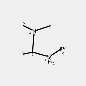 CC(C)[SiH2]C(C)N(C)C